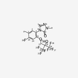 Cc1cc(-n2nnn(C)c2=O)c(OCC(O)(C(F)(F)F)C(F)(F)F)cc1F